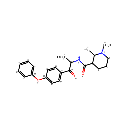 CCOC(=O)C(NC(=O)C1CCCN(C(=O)O)C1C(C)(C)C)C(=O)c1ccc(Oc2ccccc2)cc1